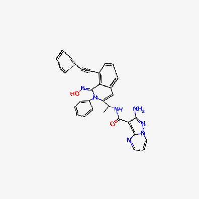 CC(NC(=O)c1c(N)nn2cccnc12)c1cc2cccc(C#Cc3ccccc3)c2c(=NO)n1-c1ccccc1